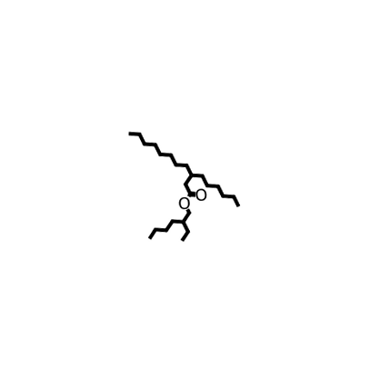 CCCCCCCCC(CCCCCC)CC(=O)OCC(CC)CCCC